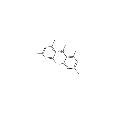 CB(c1c(C)cc(C)cc1C)c1c(C)cc(C)cc1C